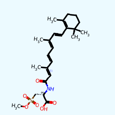 COS(=O)(=O)C[C@H](NC(=O)/C=C(\C)C=CC=C(C)C=CC1=C(C)CCCC1(C)C)C(=O)O